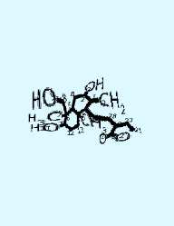 C=C1C(O)CC2C(C)(CO)C(O)CCC2(C)C1/C=C/C1=CCOC1=O